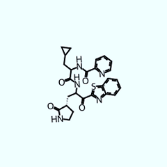 O=C(NC(CC1CC1)C(=O)NC(C[C@@H]1CCNC1=O)C(=O)c1nc2ccccc2s1)c1ccccn1